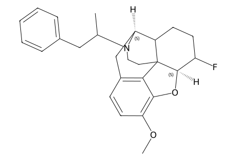 COc1ccc2c3c1O[C@@H]1C(F)CCC4[C@H](C2)N(C(C)Cc2ccccc2)CCC341